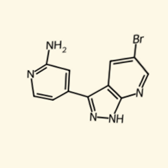 Nc1cc(-c2n[nH]c3ncc(Br)cc23)ccn1